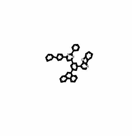 c1ccc(-c2ccc(-c3cc(-c4cc(-c5cc6ccccc6c6ccccc56)cc(-c5ccnc6c5oc5ccccc56)c4)nc(-c4ccccc4)n3)cc2)cc1